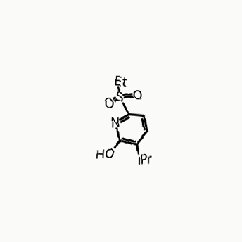 CCS(=O)(=O)c1ccc(C(C)C)c(O)n1